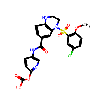 COc1ccc(Cl)cc1S(=O)(=O)N1CCNc2ccc(C(=O)Nc3ccc(OC(=O)O)nc3)cc21